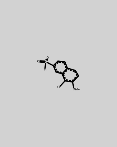 COc1ccc2ccc(S(=O)(=O)Cl)cc2c1Cl